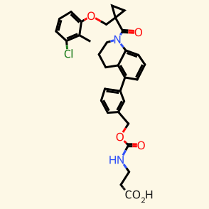 Cc1c(Cl)cccc1OCC1(C(=O)N2CCCc3c(-c4cccc(COC(=O)NCCC(=O)O)c4)cccc32)CC1